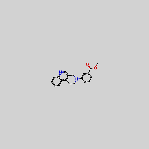 COC(=O)c1cccc(N2CCc3c(cnc4ccccc34)C2)c1